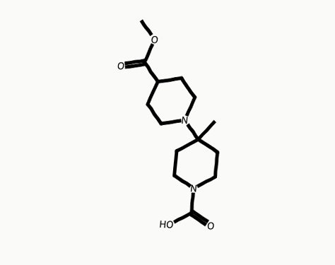 COC(=O)C1CCN(C2(C)CCN(C(=O)O)CC2)CC1